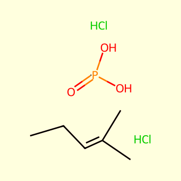 CCC=C(C)C.Cl.Cl.O=[P](O)O